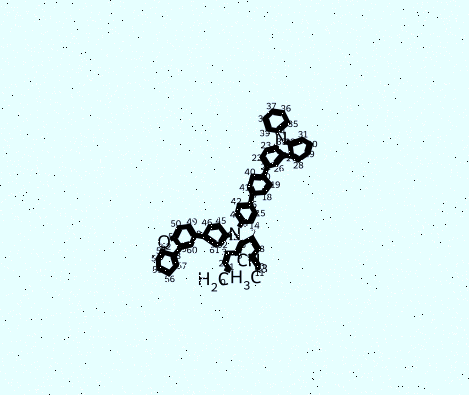 C=C\C=C/C(C)=C(/C=C\C=C\C)N(c1ccc(-c2ccc(-c3ccc4c(c3)c3ccccc3n4-c3ccccc3)cc2)cc1)c1ccc(-c2ccc3oc4ccccc4c3c2)cc1